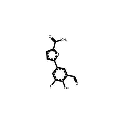 CC(=O)c1ccc(-c2cc(F)c(O)c(C=O)c2)s1